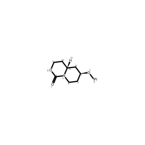 CC(C)O[C@H]1CCN2C(=O)OCC[C@@H]2C1